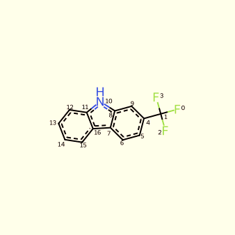 FC(F)(F)c1ccc2c(c1)[nH]c1ccccc12